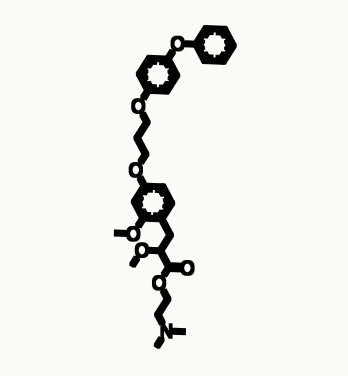 COc1cc(OCCCOc2ccc(Oc3ccccc3)cc2)ccc1CC(OC)C(=O)OCCN(C)C